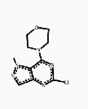 Cn1ncc2nc(Cl)nc(N3CCOCC3)c21